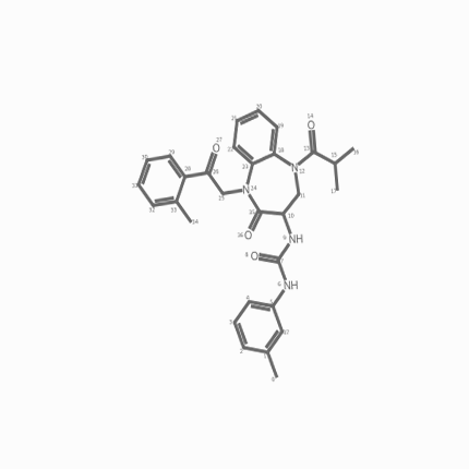 Cc1cccc(NC(=O)NC2CN(C(=O)C(C)C)c3ccccc3N(CC(=O)c3ccccc3C)C2=O)c1